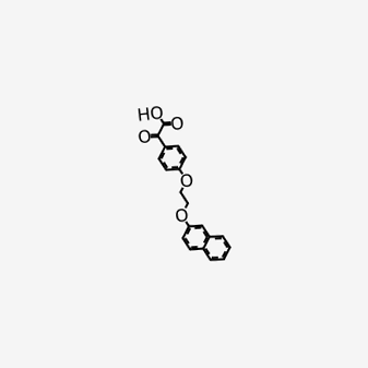 O=C(O)C(=O)c1ccc(OCCOc2ccc3ccccc3c2)cc1